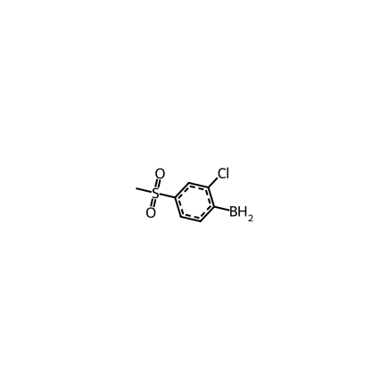 Bc1ccc(S(C)(=O)=O)cc1Cl